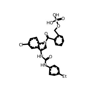 CCc1ccc(NC(=O)Nc2cn(C(=O)c3ccccc3COP(=O)(O)O)c3ccc(Cl)cc23)cc1